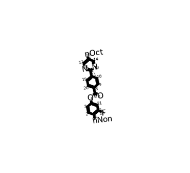 CCCCCCCCCc1ccc(OC(=O)c2ccc(-c3ncc(CCCCCCCC)cn3)cc2)cc1F